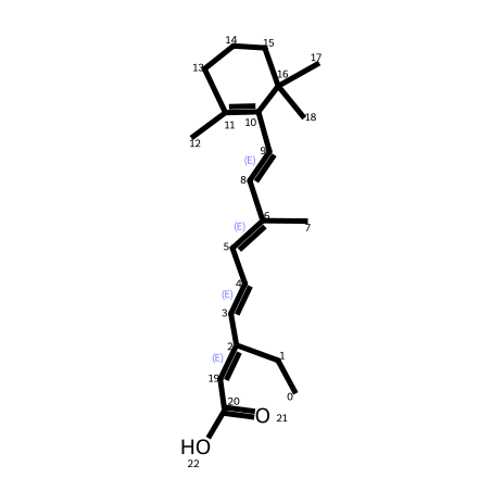 CCC(/C=C/C=C(C)/C=C/C1=C(C)CCCC1(C)C)=C\C(=O)O